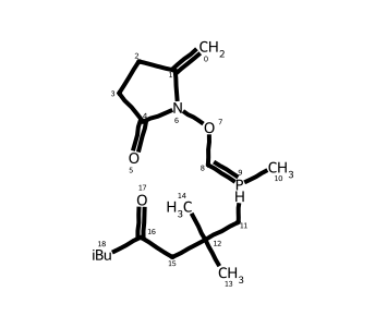 C=C1CCC(=O)N1O/C=[PH](\C)CC(C)(C)CC(=O)C(C)CC